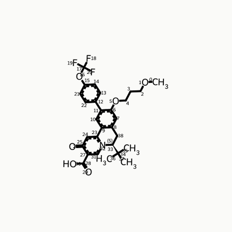 COCCCOc1cc2c(cc1-c1ccc(OC(F)(F)F)cc1)-c1cc(=O)c(C(=O)O)cn1[C@H](C(C)(C)C)C2